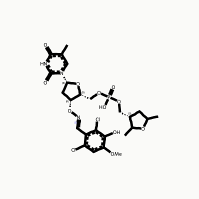 COc1cc(Cl)c(/C=N/O[C@@H]2C[C@H](n3cc(C)c(=O)[nH]c3=O)O[C@@H]2COP(=O)(O)OC[C@@H]2CC(C)OC2C)c(Cl)c1O